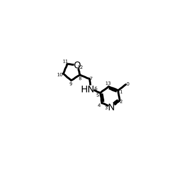 Cc1cncc(NCC2CCCO2)c1